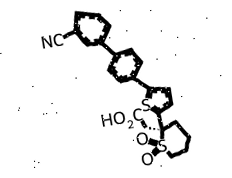 N#Cc1cccc(-c2ccc(-c3ccc([C@@]4(CC(=O)O)CCCCS4(=O)=O)s3)cc2)c1